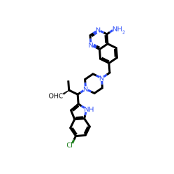 C[C@H](C=O)C(c1cc2cc(Cl)ccc2[nH]1)N1CCN(Cc2ccc3c(N)ncnc3c2)CC1